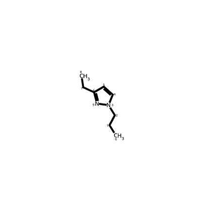 CCCn1ccc(CC)n1